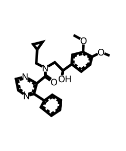 COc1ccc(C(O)CN(CC2CC2)C(=O)c2nccnc2-c2ccccc2)cc1OC